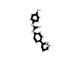 O=C(N=C1C=CC(c2cccnn2)C=C1)Oc1ccc(F)cc1